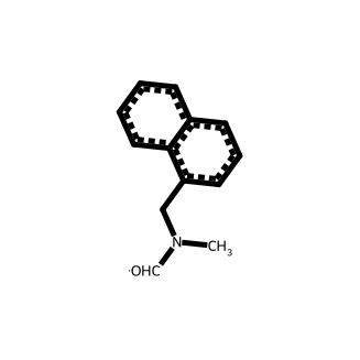 CN([C]=O)Cc1cccc2ccccc12